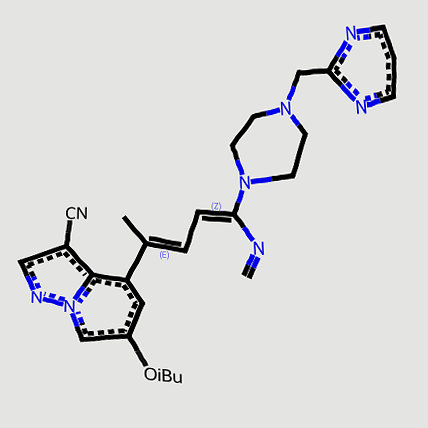 C=N/C(=C\C=C(/C)c1cc(OCC(C)C)cn2ncc(C#N)c12)N1CCN(Cc2ncccn2)CC1